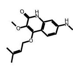 CNc1ccc2c(OCC=C(C)C)c(OC)c(=O)[nH]c2c1